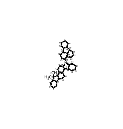 CC1(C)c2ccccc2-c2ccc3c(ccc4c3c3ccccc3n4-c3ccc4c5c(cccc35)-c3ccccc3-4)c21